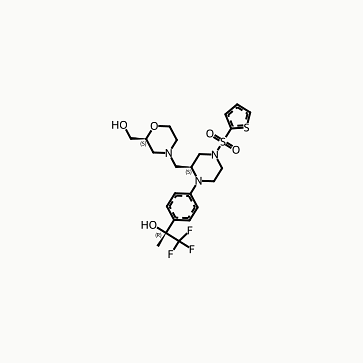 C[C@@](O)(c1ccc(N2CCN(S(=O)(=O)c3cccs3)C[C@@H]2CN2CCO[C@H](CO)C2)cc1)C(F)(F)F